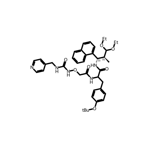 CCOC(OCC)[C@@H](C)[C@H](NC(=O)C(Cc1ccc(OC(C)(C)C)cc1)NC(=O)CONC(=O)NCc1ccncc1)c1cccc2ccccc12